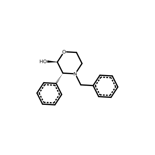 O[C@H]1OCCN(Cc2ccccc2)[C@@H]1c1ccccc1